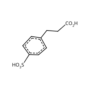 O=C(O)CCc1ccc(S(=O)(=O)O)cc1